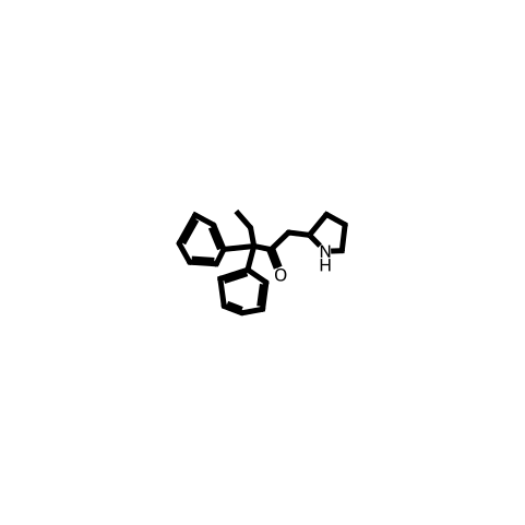 CCC(C(=O)CC1CCCN1)(c1ccccc1)c1ccccc1